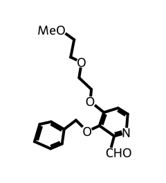 COCCOCCOc1ccnc(C=O)c1OCc1ccccc1